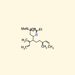 C=CC(=C)C(CCC(=C)/C=C\C)C(CC(=C)NC)/N=C(\C)CC